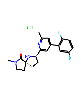 Cc1cc(-c2cc(F)ccc2F)cc([C@H]2CC[C@@]3(CCN(C)C3=O)N2)n1.Cl